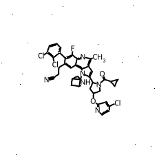 Cc1nc2c(F)c(-c3cccc(Cl)c3Cl)c(CCC#N)cc2c2c1cc(C1CC(Oc3cc(Cl)ccn3)CN1C(=O)C1CC1)n2C1C2CNC1C2